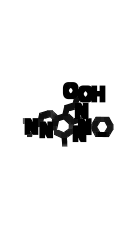 CC(C)c1nn(C2CCCCC2)c2nc(C(=O)O)cc(-c3ccc(N(C)C)nc3)c12